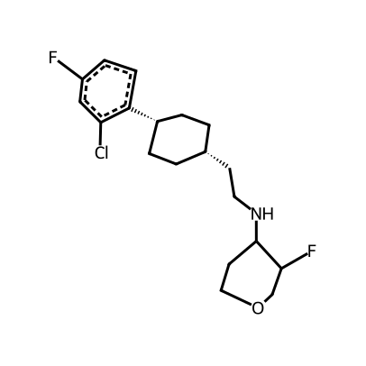 Fc1ccc([C@H]2CC[C@@H](CCNC3CCOCC3F)CC2)c(Cl)c1